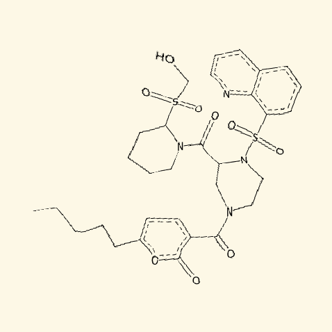 CCCCCc1ccc(C(=O)N2CCN(S(=O)(=O)c3cccc4cccnc34)C(C(=O)N3CCCCC3S(=O)(=O)CO)C2)c(=O)o1